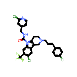 O=C(NCc1ccnc(Cl)c1)n1c2c(c3cc(Cl)c(C(F)(F)F)cc31)CN(CC=Cc1ccc(Cl)cc1)CC2